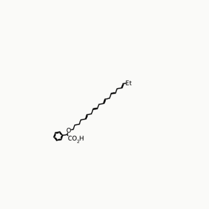 CCC=CCC=CCC=CCC=CCC=CCCCCOC(C(=O)O)c1ccccc1